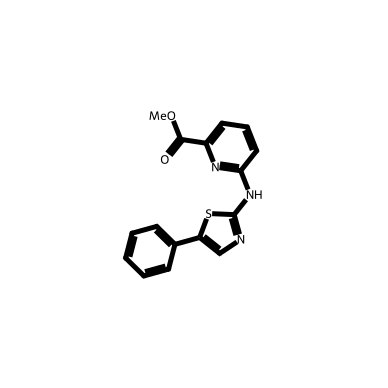 COC(=O)c1cccc(Nc2ncc(-c3ccccc3)s2)n1